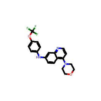 FC(F)(F)Oc1ccc(Nc2ccc3c(N4CCOCC4)ccnc3c2)cc1